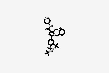 COCc1c(C(=O)NC2CCOCC2)cc(-c2ccc(S(=O)(=O)NC(C)(C)C)c(C(C)(C)C)c2)n1CC1CCCCC1